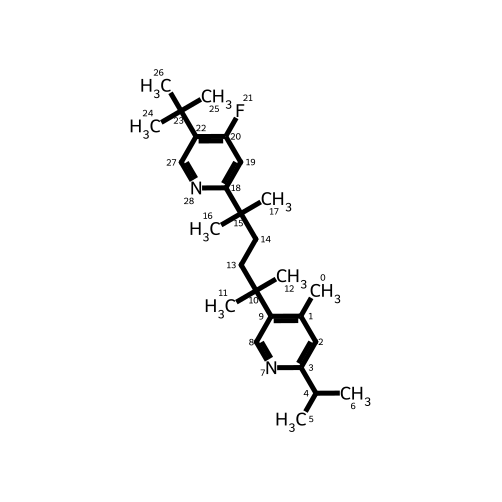 Cc1cc(C(C)C)ncc1C(C)(C)CCC(C)(C)c1cc(F)c(C(C)(C)C)cn1